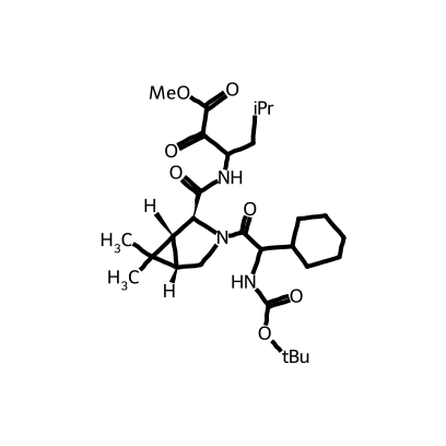 COC(=O)C(=O)C(CC(C)C)NC(=O)[C@@H]1[C@@H]2[C@H](CN1C(=O)C(NC(=O)OC(C)(C)C)C1CCCCC1)C2(C)C